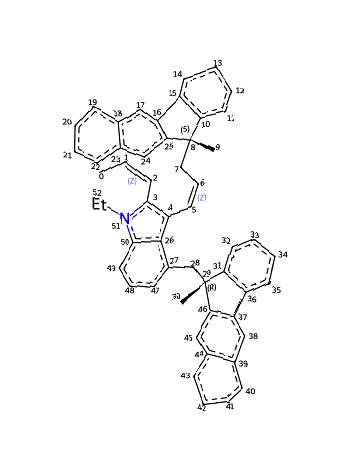 C/C=C\c1c(/C=C\C[C@@]2(C)c3ccccc3-c3cc4ccccc4cc32)c2c(C[C@]3(C)c4ccccc4-c4cc5ccccc5cc43)cccc2n1CC